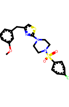 COc1cccc(Cc2csc(N3CCN(S(=O)(=O)c4ccc(Cl)cc4)CC3)n2)c1